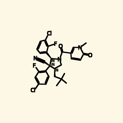 Cn1cc(C(=O)N2C[C@@H](CC(C)(C)C)[C@](C#N)(c3ccc(Cl)cc3F)[C@H]2c2cccc(Cl)c2F)ccc1=O